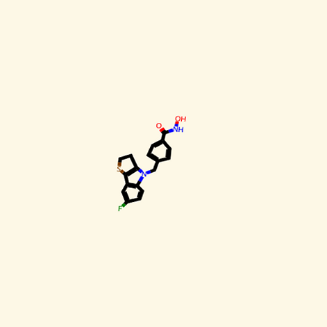 O=C(NO)c1ccc(Cn2c3c(c4cc(F)ccc42)SCC3)cc1